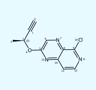 C#C[C@H](C)Oc1cnc2c(Cl)nccc2n1